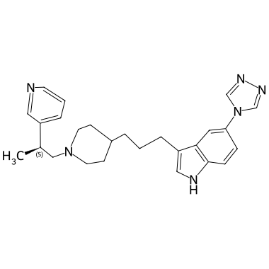 C[C@H](CN1CCC(CCCc2c[nH]c3ccc(-n4cnnc4)cc23)CC1)c1cccnc1